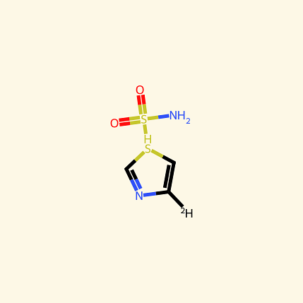 [2H]C1=C[SH](S(N)(=O)=O)C=N1